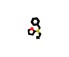 CCC=S(Cc1ccccc1)C1CCCO1